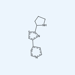 c1cc(-c2csc(C3CCCN3)n2)ccn1